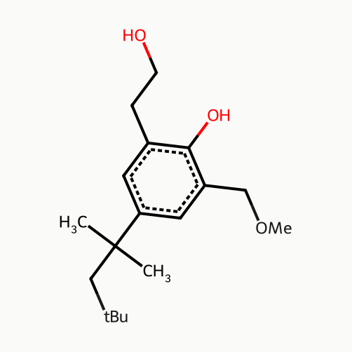 COCc1cc(C(C)(C)CC(C)(C)C)cc(CCO)c1O